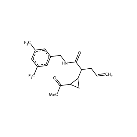 C=CCC(C(=O)NCc1cc(C(F)(F)F)cc(C(F)(F)F)c1)C1CC1C(=O)OC